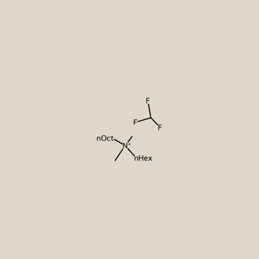 CCCCCCCC[N+](C)(C)CCCCCC.FC(F)F